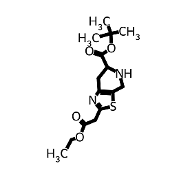 CCOC(=O)Cc1nc2c(s1)CNC(C(=O)OC(C)(C)C)C2